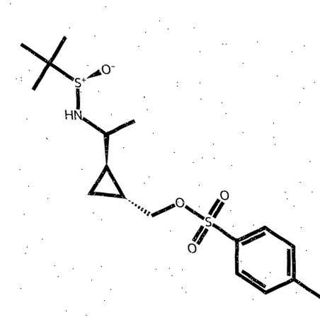 Cc1ccc(S(=O)(=O)OC[C@@H]2C[C@H]2C(C)N[S@+]([O-])C(C)(C)C)cc1